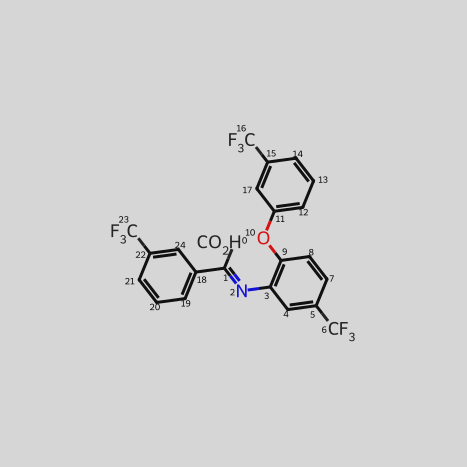 O=C(O)C(=Nc1cc(C(F)(F)F)ccc1Oc1cccc(C(F)(F)F)c1)c1cccc(C(F)(F)F)c1